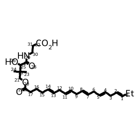 CCC=CCC=CCC=CCC=CCC=CCCCC(=O)OCC(C)(C)C(O)C(=O)NCCC(=O)O